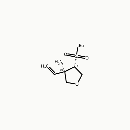 C=C[C@]1(N)COC[C@H]1S(=O)(=O)C(C)(C)C